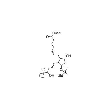 CCC1(C(O)C/C=C/[C@@H]2[C@@H](C/C=C\CCCC(=O)OC)[C@H](C#N)C[C@H]2O[Si](C)(C)C(C)(C)C)CCC1